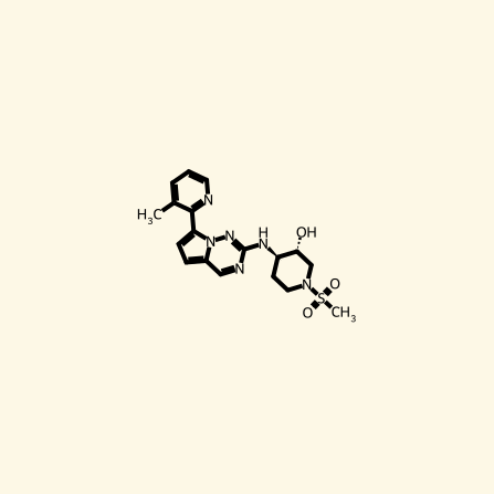 Cc1cccnc1-c1ccc2cnc(N[C@@H]3CCN(S(C)(=O)=O)C[C@H]3O)nn12